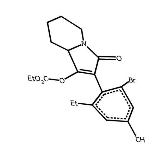 CCOC(=O)OC1=C(c2c(Br)cc(C)cc2CC)C(=O)N2CCCCC12